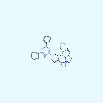 C1=CC2=CC3=CC=NC3C(C3CC(C4=NC(c5ccccc5)NC(C5=CCCC=C5)N4)CC=C3C3CC=N3)C2C=C1